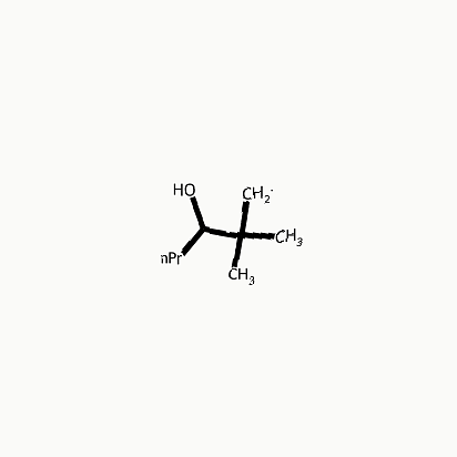 [CH2]C(C)(C)C(O)CCC